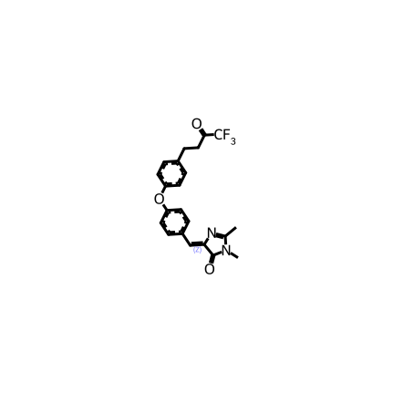 CC1=N/C(=C\c2ccc(Oc3ccc(CCC(=O)C(F)(F)F)cc3)cc2)C(=O)N1C